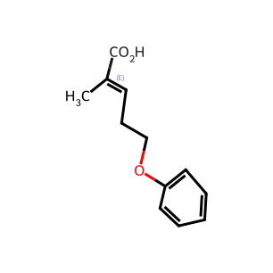 C/C(=C\CCOc1ccccc1)C(=O)O